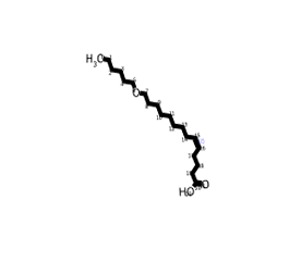 CCCCCCOCCCCCCCC/C=C\CCCC(=O)O